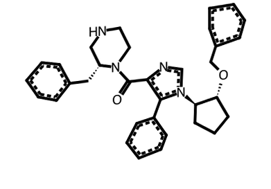 O=C(c1ncn([C@@H]2CCC[C@H]2OCc2ccccc2)c1-c1ccccc1)N1CCNC[C@H]1Cc1ccccc1